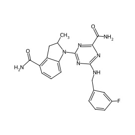 CC1Cc2c(C(N)=O)cccc2N1c1nc(NCc2cccc(F)c2)nc(C(N)=O)n1